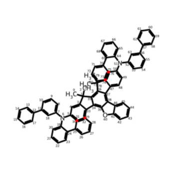 CC1(C)c2cc(N(c3cccc(-c4ccccc4)c3)c3ccccc3-c3ccccc3)ccc2-c2c1c1c(c3c2oc2ccccc23)-c2ccc(N(c3cccc(-c4ccccc4)c3)c3ccccc3-c3ccccc3)cc2C1(C)C